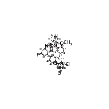 COc1ccc([C@H](Cc2c(Cl)c[n+]([O-])cc2Cl)c2c(CN(C(=O)O[C@H]3CN4CCC3CC4)c3ccc(F)cc3F)cccc2C(=O)O)cc1OC